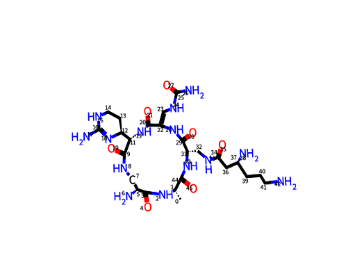 C[C@@H]1NC(=O)[C@@H](N)CNC(=O)[C@H]([C@@H]2CCNC(N)=N2)NC(=O)/C(=C/NC(N)=O)NC(=O)[C@H](CNC(=O)C[C@@H](N)CCCN)NC1=O